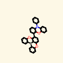 c1ccc(N2c3ccccc3Oc3c(-c4ccc5c6c4Oc4ccccc4B6c4ccccc4O5)cccc32)cc1